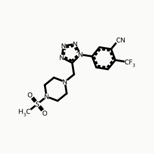 CS(=O)(=O)N1CCN(Cc2nnnn2-c2ccc(C(F)(F)F)c(C#N)c2)CC1